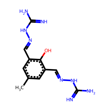 Cc1cc(C=NNC(=N)N)c(O)c(C=NNC(=N)N)c1